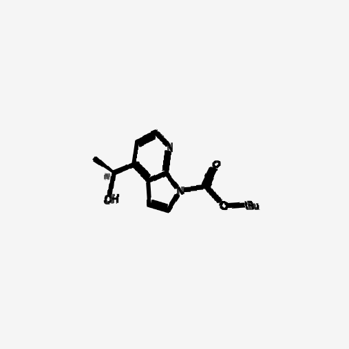 C[C@H](O)c1ccnc2c1ccn2C(=O)OC(C)(C)C